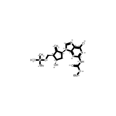 C=C1[C@H](CO[Si](C)(C)C(C)(C)C)[C@@H](O)C[C@@H]1n1cnc2c(Cl)nc(NC(=O)OC(C)(C)C)nc21